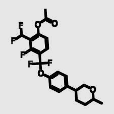 CC(=O)Oc1ccc(C(F)(F)Oc2ccc(C3CCC(C)OC3)cc2)c(F)c1C(F)F